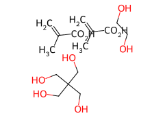 C=C(C)C(=O)O.C=C(C)C(=O)O.OCC(CO)(CO)CO.OCCO